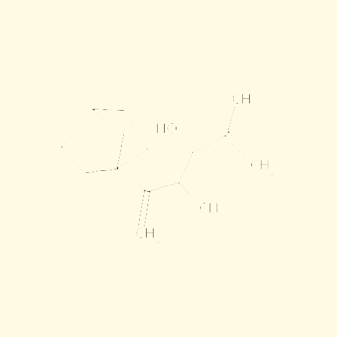 C=C(C)C(O)C(C)C(=C)C12CCC(CC1)C2